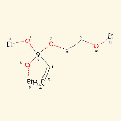 C=C[Si](OCC)(OCC)OCCOCC